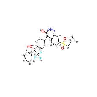 NC(=O)C(c1ccc(C(O)(c2ccccc2)C(F)(F)F)cc1)c1ccc(S(=O)(=O)CC2CC2)cc1